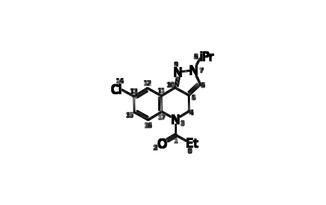 CCC(=O)N1Cc2cn(C(C)C)nc2-c2cc(Cl)ccc21